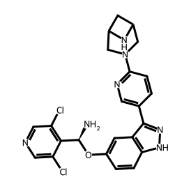 N[C@@H](Oc1ccc2[nH]nc(-c3ccc(N4CC5CC(C4)N5)nc3)c2c1)c1c(Cl)cncc1Cl